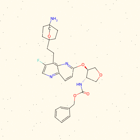 NC12CCC(CCc3c(F)cnc4ccc(O[C@H]5COC[C@@H]5NC(=O)OCc5ccccc5)nc34)(CC1)OC2